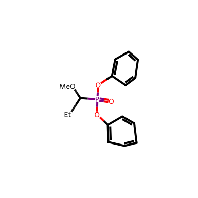 CCC(OC)P(=O)(Oc1ccccc1)Oc1ccccc1